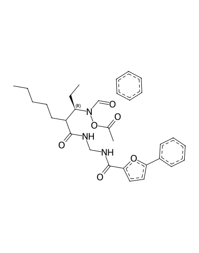 CCCCCC(C(=O)NCNC(=O)c1ccc(-c2ccccc2)o1)[C@@H](CC)N(C=O)OC(C)=O.c1ccccc1